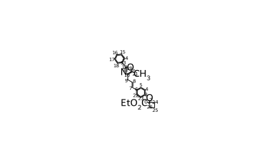 CCOC(=O)C1(Oc2ccc(/C=C/Cc3nc(-c4ccccc4)oc3C)cc2)CCC1